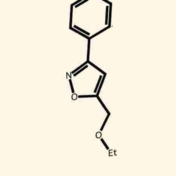 CCOCc1cc(-c2[c]cccc2)no1